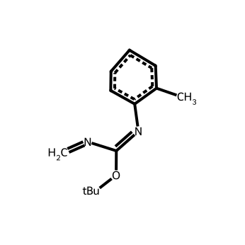 C=N/C(=N\c1ccccc1C)OC(C)(C)C